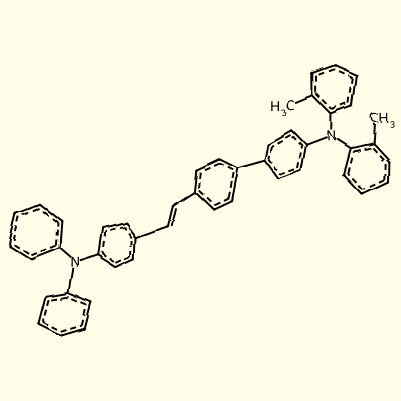 Cc1ccccc1N(c1ccc(-c2ccc(/C=C/c3ccc(N(c4ccccc4)c4ccccc4)cc3)cc2)cc1)c1ccccc1C